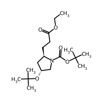 CCOC(=O)CC[C@@H]1C[C@@H](OC(C)(C)C)CN1C(=O)OC(C)(C)C